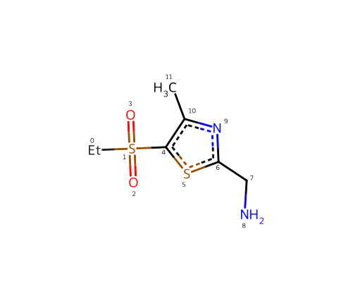 CCS(=O)(=O)c1sc(CN)nc1C